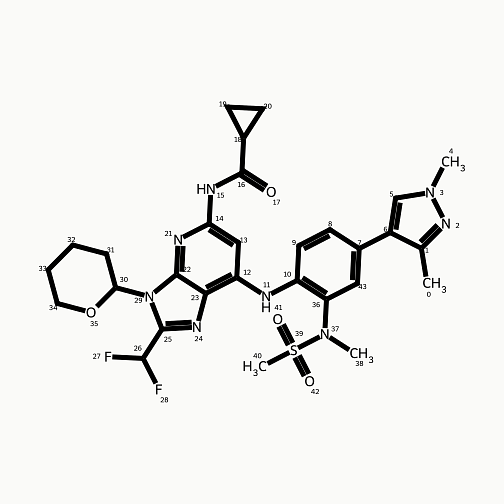 Cc1nn(C)cc1-c1ccc(Nc2cc(NC(=O)C3CC3)nc3c2nc(C(F)F)n3C2CCCCO2)c(N(C)S(C)(=O)=O)c1